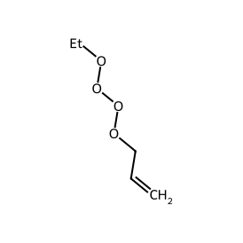 C=CCOOOOCC